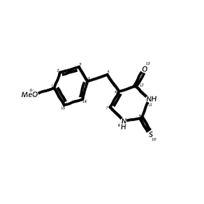 COc1ccc(Cc2c[nH]c(=S)[nH]c2=O)cc1